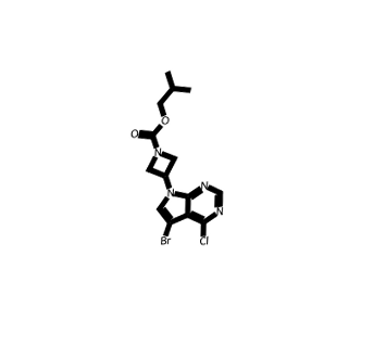 CC(C)COC(=O)N1CC(n2cc(Br)c3c(Cl)ncnc32)C1